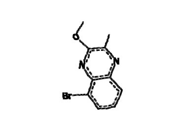 COc1nc2c(Br)cccc2nc1C